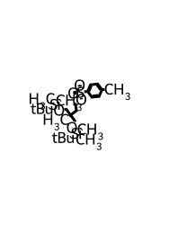 Cc1ccc(S(=O)(=O)OCCC(C)(CO[Si](C)(C)C(C)(C)C)CO[Si](C)(C)C(C)(C)C)cc1